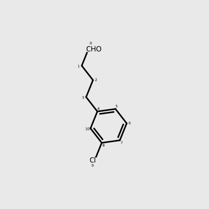 O=CCCCc1cccc(Cl)c1